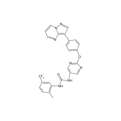 Cc1ccc(C(F)(F)F)cc1NC(=O)Nc1cnc(Oc2ccc(-c3cnn4cccnc34)cc2)nc1